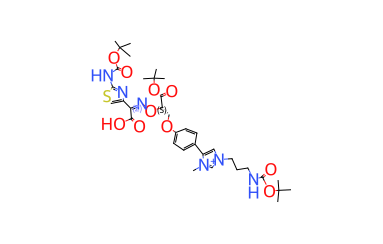 C[n+]1cn(CCCNC(=O)OC(C)(C)C)cc1-c1ccc(OC[C@H](O/N=C(\C(=O)O)c2csc(NC(=O)OC(C)(C)C)n2)C(=O)OC(C)(C)C)cc1